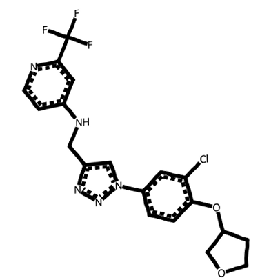 FC(F)(F)c1cc(NCc2cn(-c3ccc(OC4CCOC4)c(Cl)c3)nn2)ccn1